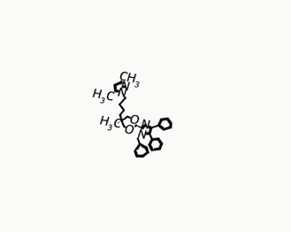 Cc1cc(C)n(CCCC[C@]2(C)CO[C@H](c3nc(-c4ccccc4)c(-c4ccccc4)n3Cc3ccccc3)OC2)n1